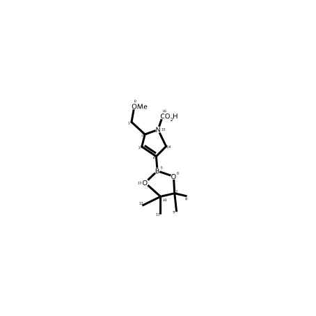 COCC1C=C(B2OC(C)(C)C(C)(C)O2)CN1C(=O)O